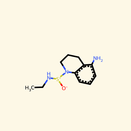 CCN[S+]([O-])N1CCCc2c(N)cccc21